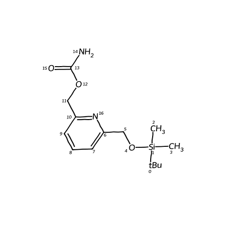 CC(C)(C)[Si](C)(C)OCc1cccc(COC(N)=O)n1